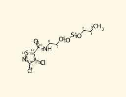 CCCOSOOCCNC(=O)c1snc(Cl)c1Cl